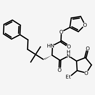 CCC1OCC(=O)C1NC(=O)[C@H](CC(C)(C)CCc1ccccc1)NC(=O)Oc1ccoc1